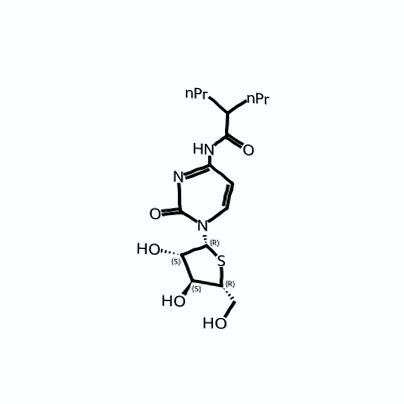 CCCC(CCC)C(=O)Nc1ccn([C@@H]2S[C@H](CO)[C@@H](O)[C@@H]2O)c(=O)n1